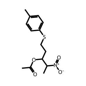 CC(=O)OC(CCSc1ccc(C)cc1)C(C)[N+](=O)[O-]